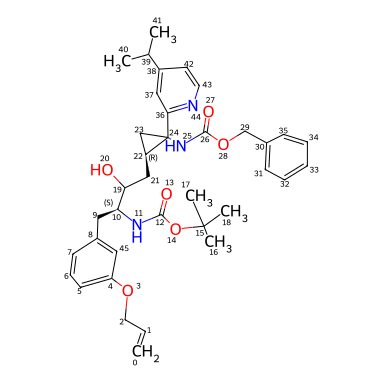 C=CCOc1cccc(C[C@H](NC(=O)OC(C)(C)C)C(O)C[C@H]2CC2(NC(=O)OCc2ccccc2)c2cc(C(C)C)ccn2)c1